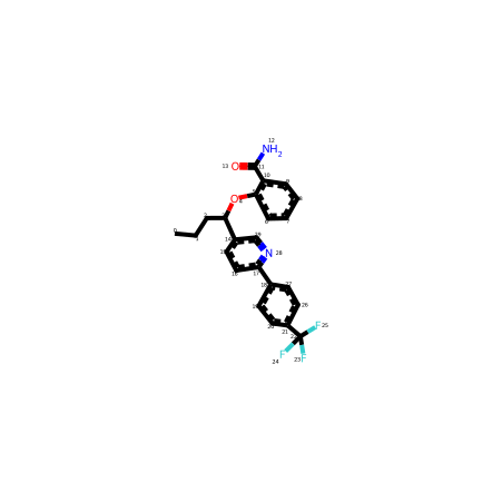 CCCC(Oc1ccccc1C(N)=O)c1ccc(-c2ccc(C(F)(F)F)cc2)nc1